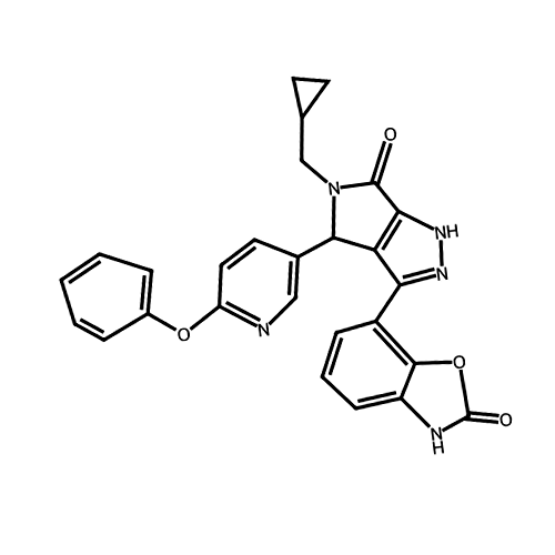 O=C1c2[nH]nc(-c3cccc4[nH]c(=O)oc34)c2C(c2ccc(Oc3ccccc3)nc2)N1CC1CC1